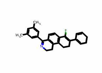 Cc1cc(C)cc(C2=NCCc3c2ccc2c3CCC(C3=CCCC=C3)=C2F)c1